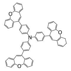 C1=CC2=C(CC1)Oc1ccccc1C(c1ccc(N(c3ccc(C4=Cc5ccccc5Oc5ccccc54)cc3)c3ccc(C4=Cc5ccccc5Oc5ccccc54)cc3)cc1)=C2